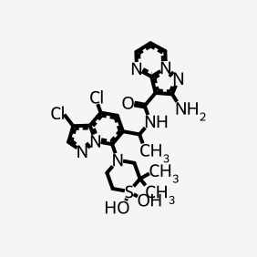 CC(NC(=O)c1c(N)nn2cccnc12)c1cc(Cl)c2c(Cl)cnn2c1N1CCS(O)(O)C(C)(C)C1